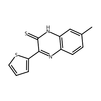 Cc1ccc2nc(-c3cccs3)c(=S)[nH]c2c1